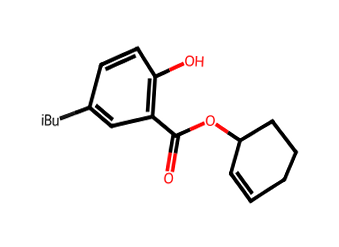 CCC(C)c1ccc(O)c(C(=O)OC2C=CCCC2)c1